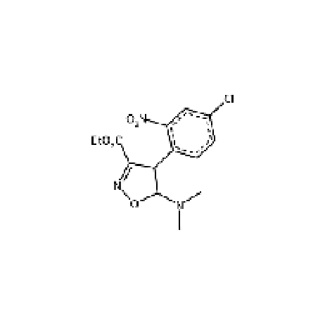 CCOC(=O)C1=NOC(N(C)C)C1c1ccc(Cl)cc1[N+](=O)[O-]